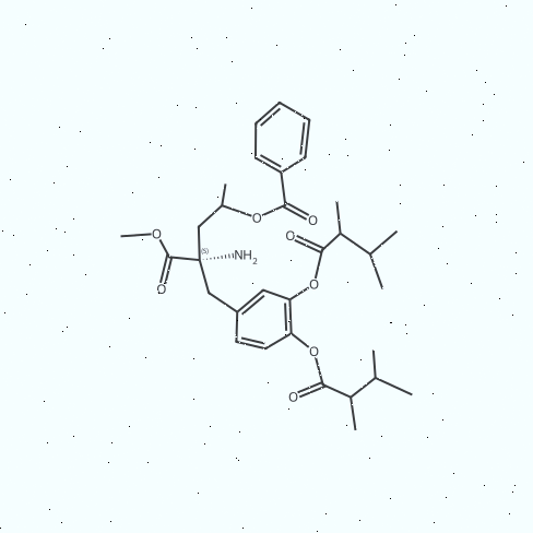 COC(=O)[C@](N)(Cc1ccc(OC(=O)C(C)C(C)C)c(OC(=O)C(C)C(C)C)c1)CC(C)OC(=O)c1ccccc1